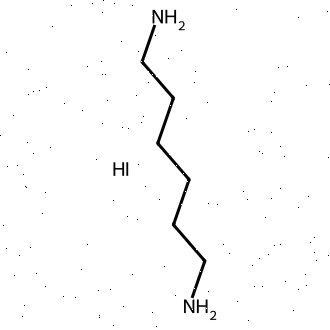 I.NCCCCCCN